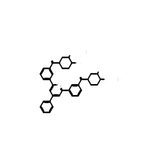 O=C(c1cccc(-c2cc(-c3ccccc3)cc(-c3cccc(C(=O)C4CCC(C(=O)O)C(C(=O)O)C4)c3)n2)c1)C1CCC(C(=O)O)C(C(=O)O)C1